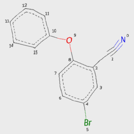 N#Cc1cc(Br)ccc1Oc1ccccc1